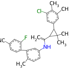 C=C(Nc1ccc(C)c(-c2ccc(C#N)cc2F)c1)C1C(c2cc(C)c(C)c(Cl)c2)C1(C)C